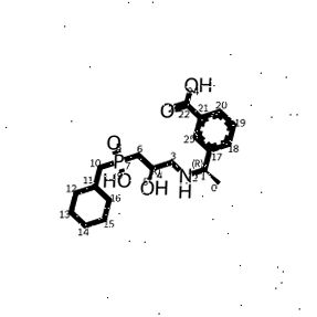 C[C@@H](NC[C@@H](O)CP(=O)(O)CC1CCCCC1)c1cccc(C(=O)O)c1